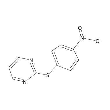 O=[N+]([O-])c1ccc(Sc2ncccn2)cc1